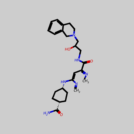 C=N/C(=C\C(=N/C)C(=O)NCC(O)CN1CCc2ccccc2C1)N[C@H]1CC[C@@H](C(N)=O)CC1